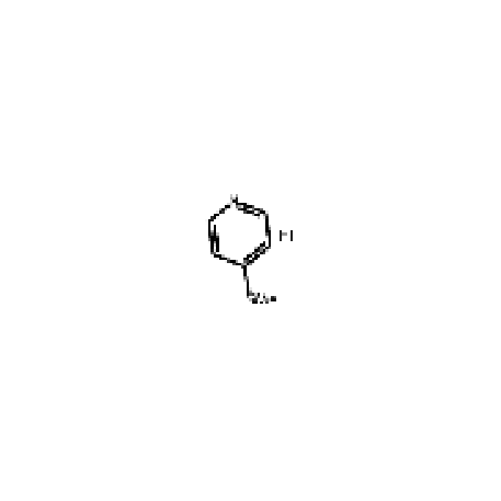 CSc1ccncc1.I